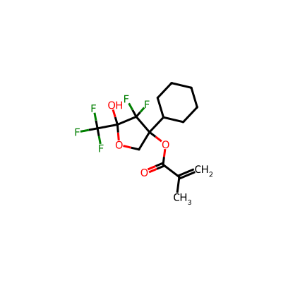 C=C(C)C(=O)OC1(C2CCCCC2)COC(O)(C(F)(F)F)C1(F)F